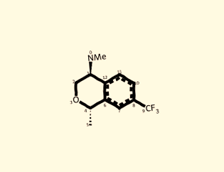 CN[C@@H]1CO[C@@H](C)c2cc(C(F)(F)F)ccc21